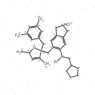 CCN(CC1CCCC1)c1cc2c(cc1C[N+]1(Cc3cc(C(F)(F)F)cc(C(F)(F)F)c3)OC(N)C=C1C)CCC2.Cl